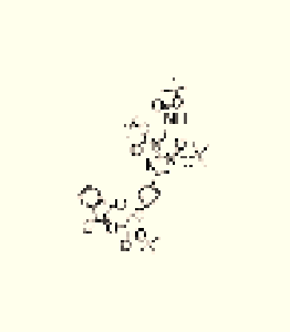 CC(C)(C)OC(=O)NCCN(C(=O)OC(C)(C)C)C1=NC(c2ccc(OCC(ON3C(=O)c4ccccc4C3=O)C(=O)OC(C)(C)C)cc2)CN1C(=O)OC(C)(C)C